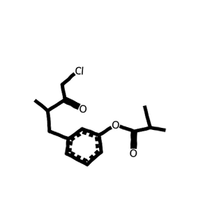 CC(C)C(=O)Oc1cccc(CC(C)C(=O)CCl)c1